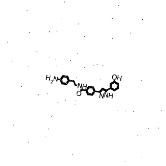 Nc1ccc(CCNC(=O)c2ccc(-c3cc(-c4cccc(O)c4)[nH]n3)cc2)cc1